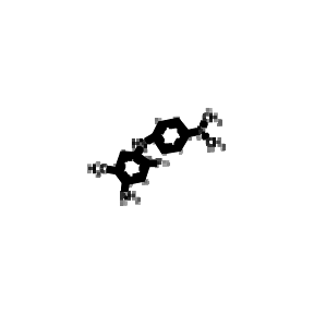 Cc1cc(Nc2ccc(N(C)C)cc2)c(F)cc1N